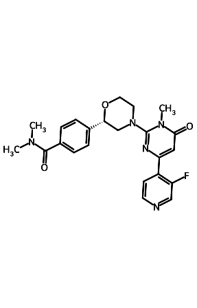 CN(C)C(=O)c1ccc([C@H]2CN(c3nc(-c4ccncc4F)cc(=O)n3C)CCO2)cc1